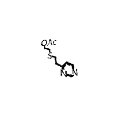 CC(=O)OCCSCCc1ccncn1